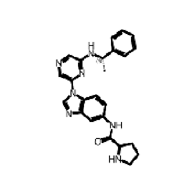 C[C@H](Nc1cncc(-n2cnc3cc(NC(=O)C4CCCN4)ccc32)n1)c1ccccc1